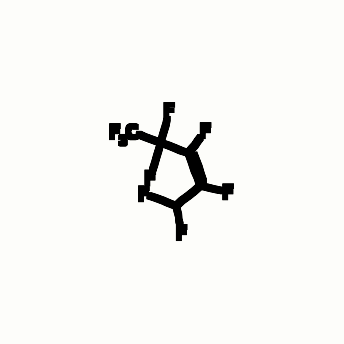 F/C(=C(\F)C(F)(F)C(F)(F)F)C(F)F